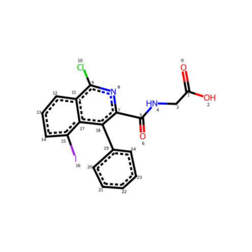 O=C(O)CNC(=O)c1nc(Cl)c2cccc(I)c2c1-c1ccccc1